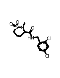 CN1C(C(=O)NCc2ccc(Cl)cc2Cl)CCCS1(=O)=O